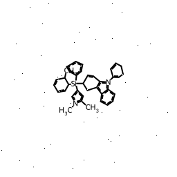 Cc1cc([Si](c2ccccc2)(C2C=Cc3c(c4ccccc4n3C3=CCCC=C3)C2)C2C=CC=CC2C)cn1C